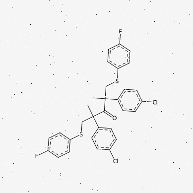 CC(CSc1ccc(F)cc1)(C(=O)C(C)(CSc1ccc(F)cc1)c1ccc(Cl)cc1)c1ccc(Cl)cc1